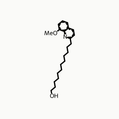 COc1cccc2ccc(CCCCCCCCCCCCO)nc12